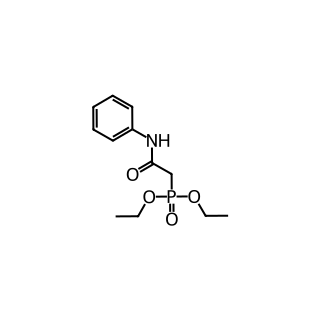 CCOP(=O)(CC(=O)Nc1ccccc1)OCC